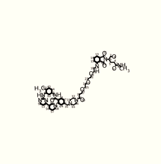 CNC(=O)CCC(C=O)N1C(=O)c2cccc(NCCOCCOCCOCCC(=O)N3CCN(Cc4ccc(C(=O)Nc5ccc(C)c(Nc6nccc(-c7cccnc7)n6)c5)cc4)CC3)c2C1=O